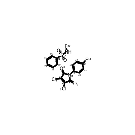 O=C1C(Cl)=C(Cl)C(=O)N1c1ccc(F)cc1.O=S(=O)(NF)c1ccccc1